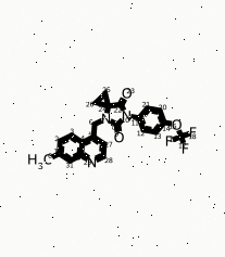 Cc1ccc2c(CN3C(=O)N(c4ccc(OC(F)(F)F)cc4)C(=O)C34CC4)ccnc2c1